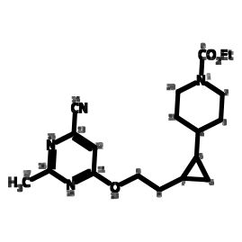 CCOC(=O)N1CCC(C2CC2CCOc2cc(C#N)nc(C)n2)CC1